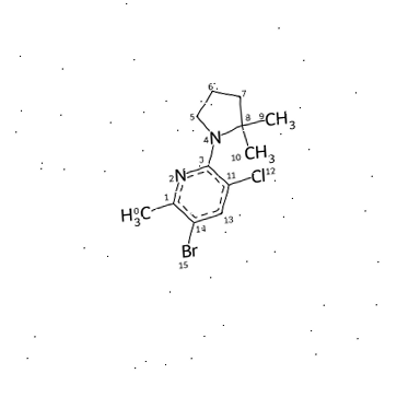 Cc1nc(N2CCCC2(C)C)c(Cl)cc1Br